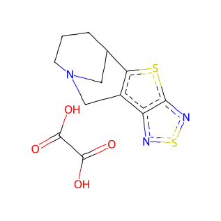 C1CC2CN(C1)Cc1c2sc2nsnc12.O=C(O)C(=O)O